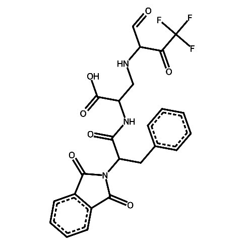 O=CC(NCC(NC(=O)C(Cc1ccccc1)N1C(=O)c2ccccc2C1=O)C(=O)O)C(=O)C(F)(F)F